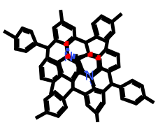 CC(=Nc1c(C(c2ccc(C)cc2)c2ccc(C)cc2)cc(C)cc1C(c1ccc(C)cc1)c1ccc(C)cc1)C(C)=Nc1c(C(c2ccc(C)cc2)c2ccc(C)cc2)cc(C)cc1C(c1ccc(C)cc1)c1ccc(C)cc1